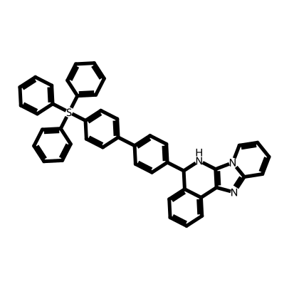 c1ccc(S(c2ccccc2)(c2ccccc2)c2ccc(-c3ccc(C4Nc5c(nc6ccccn56)-c5ccccc54)cc3)cc2)cc1